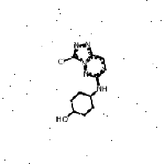 OC1CCC(Nc2ccc3nnc(Cl)n3n2)CC1